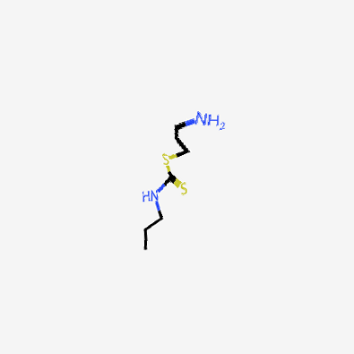 CCCNC(=S)SCCN